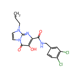 C=CCn1ccn2c(=O)c(O)c(C(=O)NCc3ccc(Cl)c(Cl)c3)nc12